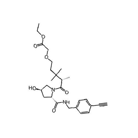 C#Cc1ccc(CNC(=O)[C@@H]2C[C@@H](O)CN2C(=O)[C@@H](C)C(C)(C)CCOCC(=O)OCC)cc1